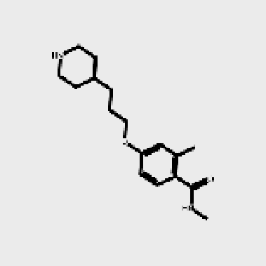 CNC(=O)c1ccc(OCCCC2CCNCC2)cc1C